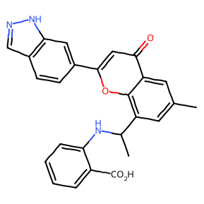 Cc1cc(C(C)Nc2ccccc2C(=O)O)c2oc(-c3ccc4cn[nH]c4c3)cc(=O)c2c1